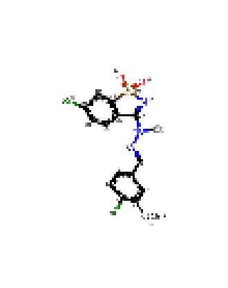 CCN(/N=C/c1ccc(F)c(OC)c1)C1=NS(=O)(=O)c2cc(Br)ccc21